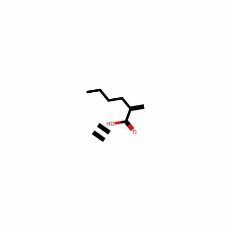 C=C.C=C.C=C(CCCC)C(=O)O